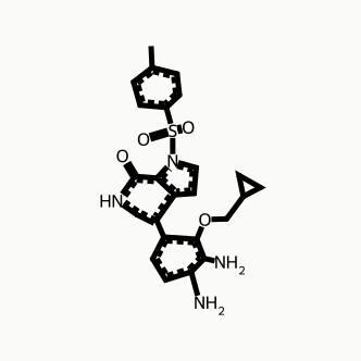 Cc1ccc(S(=O)(=O)n2ccc3c(-c4ccc(N)c(N)c4OCC4CC4)c[nH]c(=O)c32)cc1